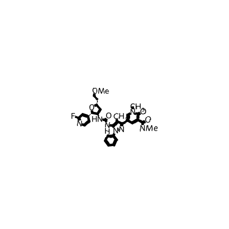 CNC(=O)c1cc(-c2nn(-c3ccccc3)c(NC(=O)N[C@@H]3C[C@@H](CCOC)O[C@H]3c3ccnc(F)c3)c2C)cn(C)c1=O